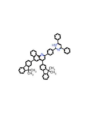 CC1(C)c2ccccc2-c2ccc(-c3cc4c(-c5ccc6c(c5)C(C)(C)c5ccccc5-6)cc(-c5ccc(C6N=C(c7ccccc7)C=C(c7ccccc7)N6)cc5)nc4c4ccccc34)cc21